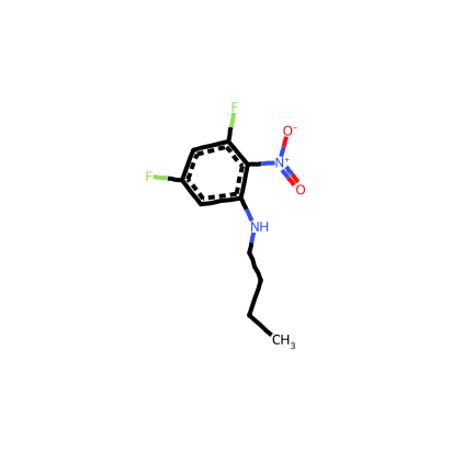 CCCCNc1cc(F)cc(F)c1[N+](=O)[O-]